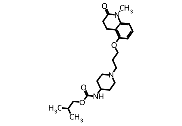 CC(C)COC(=O)NC1CCN(CCCOc2cccc3c2CCC(=O)N3C)CC1